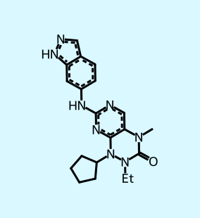 CCN1C(=O)N(C)c2cnc(Nc3ccc4cn[nH]c4c3)nc2N1C1CCCC1